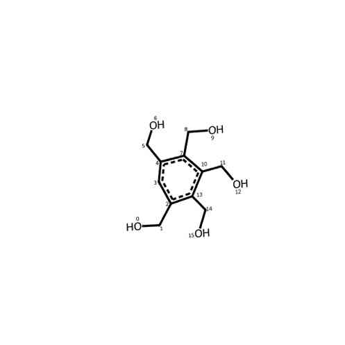 OCc1[c]c(CO)c(CO)c(CO)c1CO